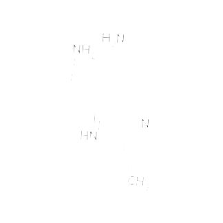 Cc1nc(=C/N)/c(=C\N)[nH]1